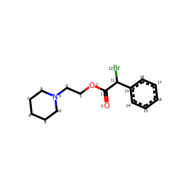 O=C(OCCN1CCCCC1)C(Br)c1ccccc1